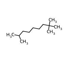 CC(C)CCCCCC(C)(C)C